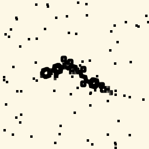 COc1ccc(C(=O)CCC(=O)NCC2CN(c3ccc(N4CCSCC4)c(F)c3)C(=O)O2)cc1